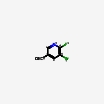 O=Cc1cnc(F)c(Br)c1